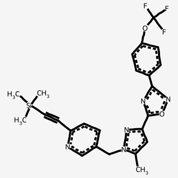 Cc1cc(-c2nc(-c3ccc(OC(F)(F)F)cc3)no2)nn1Cc1ccc(C#C[Si](C)(C)C)nc1